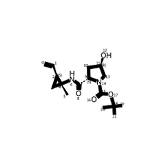 C=C[C@@H]1C[C@@]1(C)NC(=O)[C@@H]1C[C@@H](O)CN1C(=O)OC(C)(C)C